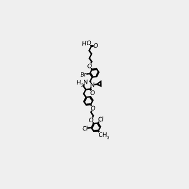 Cc1cc(Cl)c(OCCOc2ccc(CC(CN)C(=O)N(Cc3cccc(OCCCCC(=O)O)c3Br)C3CC3)cc2)c(Cl)c1